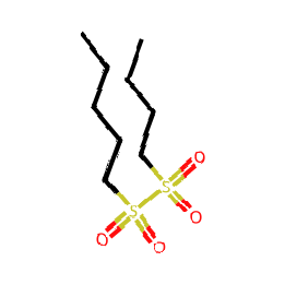 CCCCCS(=O)(=O)S(=O)(=O)CCCC